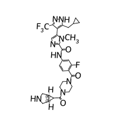 Cn1c(-c2c(C(F)(F)F)n[nH]c2CC2CC2)cnc1C(=O)Nc1ccc(C(=O)N2CCN(C(=O)C3[C@H]4CNC[C@@H]34)CC2)c(F)c1